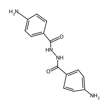 Nc1ccc(C(=O)NNC(=O)c2ccc(N)cc2)cc1